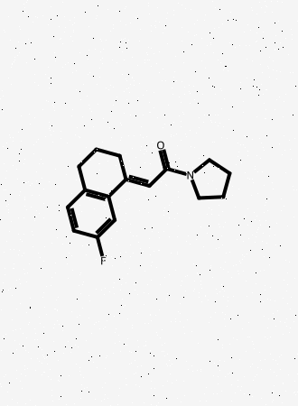 O=C(C=C1CCCc2ccc(F)cc21)N1CCCC1